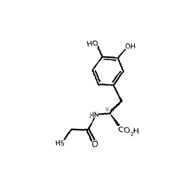 O=C(CS)N[C@@H](Cc1ccc(O)c(O)c1)C(=O)O